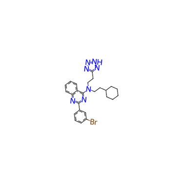 Brc1cccc(-c2nc(N(CCc3nn[nH]n3)CCC3CCCCC3)c3ccccc3n2)c1